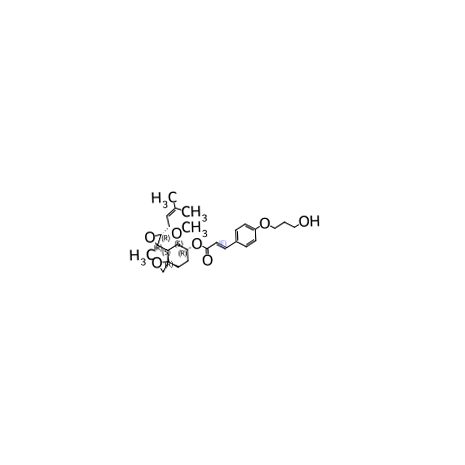 CO[C@@H]1[C@H](OC(=O)/C=C/c2ccc(OCCCO)cc2)CC[C@]2(CO2)[C@H]1[C@@]1(C)O[C@@H]1CC=C(C)C